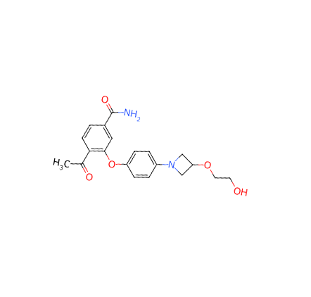 CC(=O)c1ccc(C(N)=O)cc1Oc1ccc(N2CC(OCCO)C2)cc1